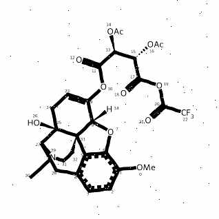 COc1ccc2c3c1O[C@H]1C(OC(=O)[C@@H](OC(C)=O)[C@H](OC(C)=O)C(=O)OC(=O)C(F)(F)F)=CC[C@@]4(O)C(C2)N(C)CC[C@]314